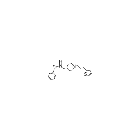 c1ccc(C2CC2NCC2CCN(CCCc3cccs3)CC2)cc1